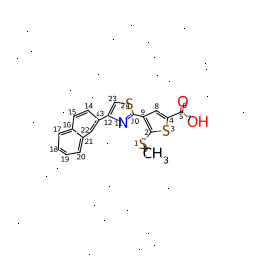 CSc1sc(C(=O)O)cc1-c1nc(-c2ccc3ccccc3c2)cs1